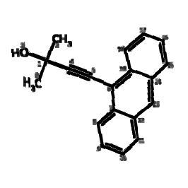 CC(C)(O)C#Cc1c2ccccc2cc2ccccc12